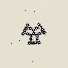 c1ccc2c(c1)c1ccccc1n2-c1ccc(-c2cc(-c3cc(-c4cc(-c5ccc(-n6c7ccccc7c7ccccc76)cc5)nc(-c5ccc(-n6c7ccccc7c7ccccc76)cc5)c4)cc(-c4cc(-c5ccc(-n6c7ccccc7c7ccccc76)cc5)nc(-c5ccc(-n6c7ccccc7c7ccccc76)cc5)c4)c3)cc(-c3ccc(-n4c5ccccc5c5ccccc54)cc3)n2)cc1